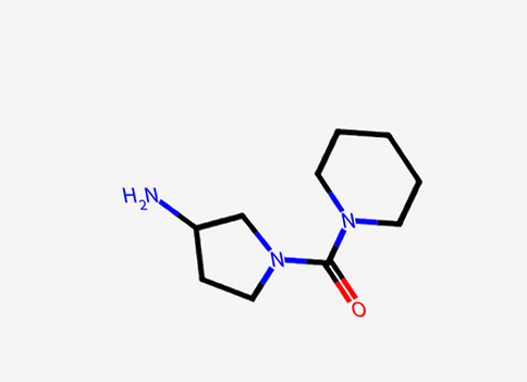 NC1CCN(C(=O)N2CCCCC2)C1